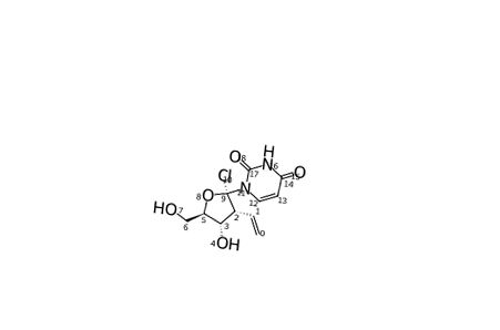 C=C[C@@H]1[C@H](O)[C@@H](CO)O[C@@]1(Cl)n1ccc(=O)[nH]c1=O